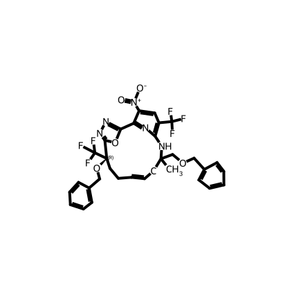 CC1(COCc2ccccc2)CC=CCC[C@](OCc2ccccc2)(C(F)(F)F)c2nnc(o2)-c2nc(c(C(F)(F)F)cc2[N+](=O)[O-])N1